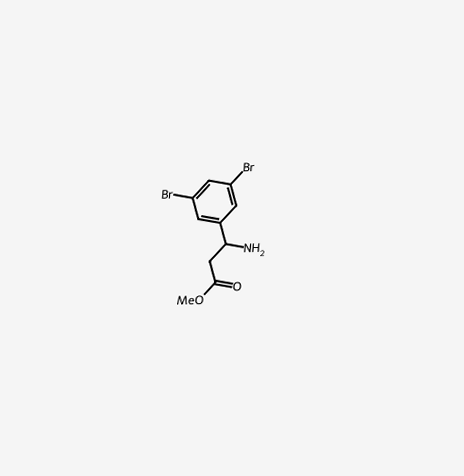 COC(=O)CC(N)c1cc(Br)cc(Br)c1